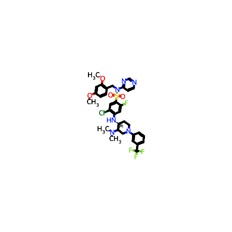 COc1ccc(CN(c2ccncn2)S(=O)(=O)c2cc(Cl)c(N[C@@H]3CCN(c4cccc(C(F)(F)F)c4)CC3N(C)C)cc2F)c(OC)c1